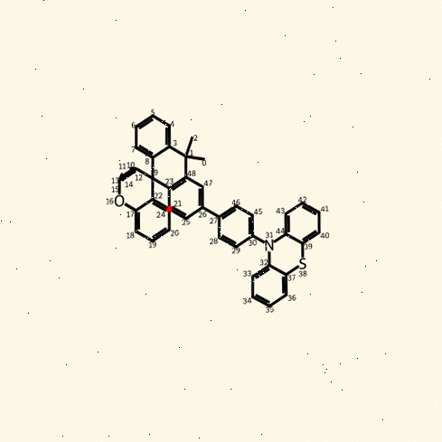 CC1(C)c2ccccc2C2(c3ccccc3Oc3ccccc32)c2ccc(-c3ccc(N4c5ccccc5Sc5ccccc54)cc3)cc21